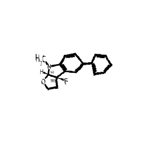 CN1c2ccc(-c3ccccc3)cc2[C@]2(F)CCO[C@H]12